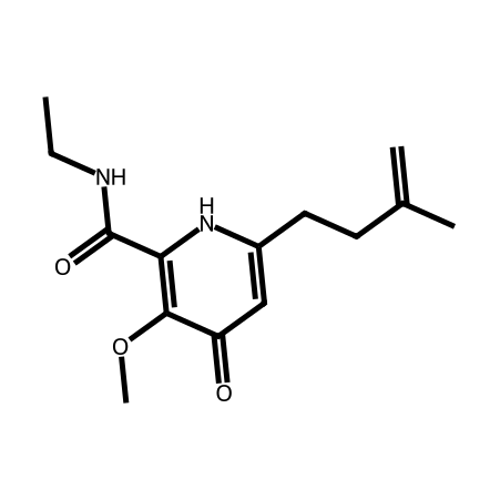 C=C(C)CCc1cc(=O)c(OC)c(C(=O)NCC)[nH]1